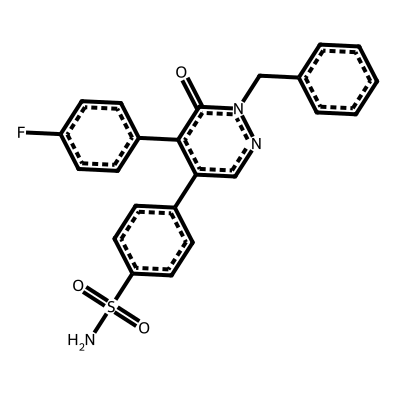 NS(=O)(=O)c1ccc(-c2cnn(Cc3ccccc3)c(=O)c2-c2ccc(F)cc2)cc1